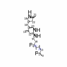 C=C(F)/C=C\C=C(\F)CCNC1CC(C)C(CC2CNC(=C)C2)=CN1